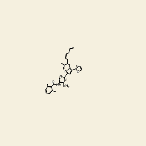 C=CC/C=C\C=C(\Cn1nc(-c2ncc(NC(=O)c3c(C)cccc3C)c(N)n2)cc1-c1ncco1)C(C)F